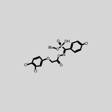 CCC(C)OP(=O)(O)C(=NOC(=O)COc1ccc(Cl)c(Cl)c1)c1ccc(Cl)cc1